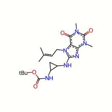 CC(C)=CCn1c(NC2CC2NC(=O)OC(C)(C)C)nc2c1c(=O)n(C)c(=O)n2C